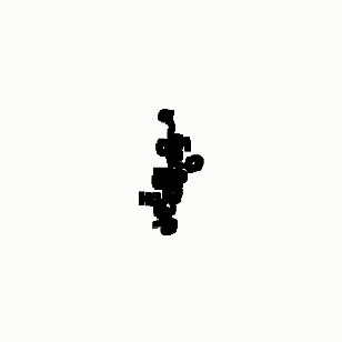 CC(=O)OCC1=C(C(=O)O)N2C(=O)[C@@H](NC(=O)C(=NOC(=O)NCCCl)c3ccccc3)[C@@H]2SC1